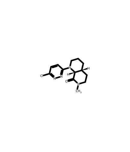 CN1CC[C@H]2CCCN(c3ccc(Cl)nn3)[C@H]2C1=O